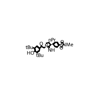 CCC[C@H]1CN(CC(=O)c2cc(C(C)(C)C)c(O)c(C(C)(C)C)c2)C(=N)[C@@H]1c1ccc(S(=O)(=O)NC)cc1